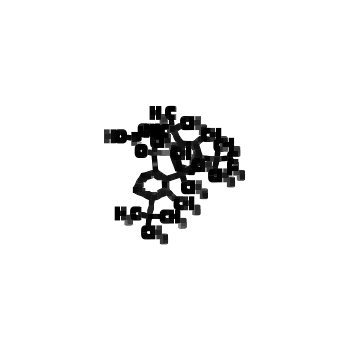 Cc1c(C(C)(C)C)ccc(C(C)(OP(O)O)c2ccc(C(C)(C)C)c(C)c2C(C)(C)C)c1C(C)(C)C